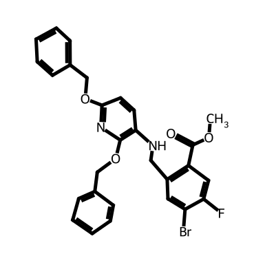 COC(=O)c1cc(F)c(Br)cc1CNc1ccc(OCc2ccccc2)nc1OCc1ccccc1